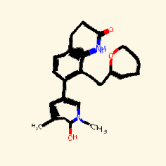 CC1=CC(c2ccc3c(c2CC2CCCCO2)NC(=O)CC3)=CN(C)C1O